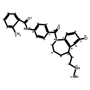 Cc1ccccc1C(=O)Nc1ccc(C(=O)N2CCCC(CCNC(C)(C)C)c3cc(Cl)ccc32)cc1